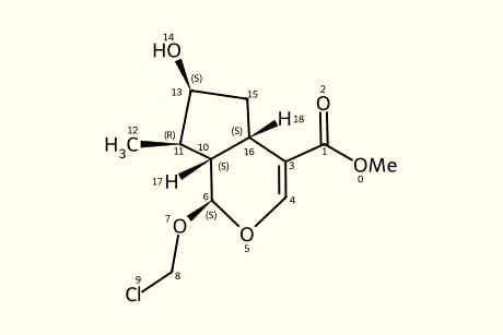 COC(=O)C1=CO[C@@H](OCCl)[C@@H]2[C@@H](C)[C@@H](O)C[C@H]12